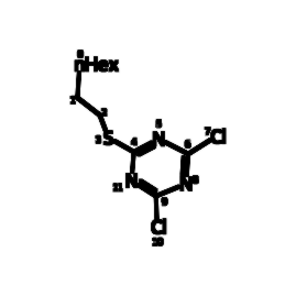 CCCCCCCCSc1nc(Cl)nc(Cl)n1